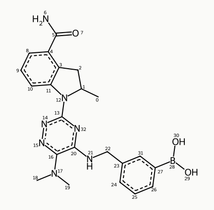 CC1Cc2c(C(N)=O)cccc2N1c1nnc(N(C)C)c(NCc2cccc(B(O)O)c2)n1